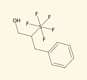 OCC(Cc1ccccc1)S(F)(F)(F)(F)F